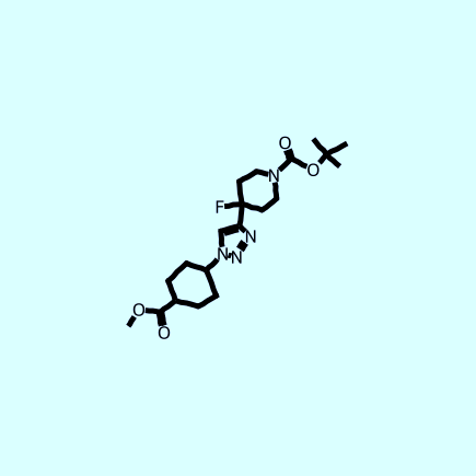 COC(=O)C1CCC(n2cc(C3(F)CCN(C(=O)OC(C)(C)C)CC3)nn2)CC1